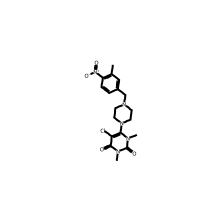 Cc1cc(CN2CCN(c3c(Cl)c(=O)n(C)c(=O)n3C)CC2)ccc1[N+](=O)[O-]